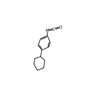 O=C=Nc1ccc(C2CCCCC2)cc1